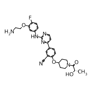 C[C@H](O)C(=O)N1CCC(Oc2ccc(-c3ccnc(Nc4ccc(F)c(OCCN)c4)n3)cc2C#N)CC1